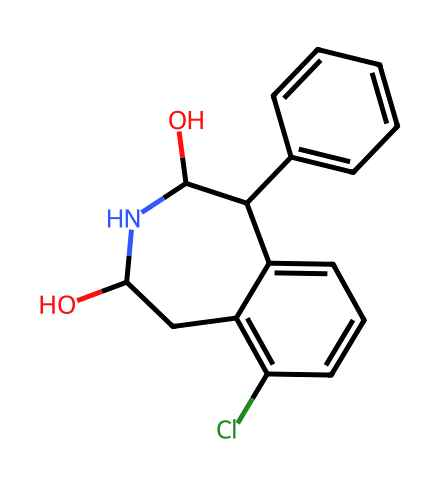 OC1Cc2c(Cl)cccc2C(c2ccccc2)C(O)N1